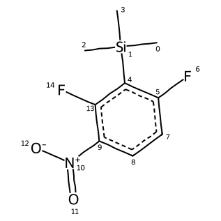 C[Si](C)(C)c1c(F)ccc([N+](=O)[O-])c1F